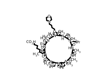 CCC1NC(=O)[C@@H]2[C@@H]([C@H](C)CCCCC(=O)O)ON2C(=O)[C@H](C(C)C)N(C)C(=O)[C@H](CC(C)C)N(C)C(=O)[C@H](CC(C)C)N(C)C(=O)[C@@H](C)NC(=O)C(C)NC(=O)[C@H](CC(C)C)N(C)C(=O)[C@H](C(C)C)NC(=O)[C@H]([C@@H](C)OCCCCN2CCOCC2)N(C)C(=O)[C@@H](C)N(C)C1=O